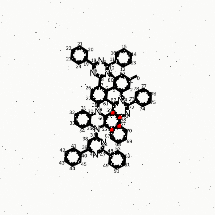 Cc1cc(C)c(-c2c(-c3nc(-c4ccccc4)nc(-c4ccccc4)n3)ccc(N3c4ccccc4N(c4cc(-c5ccccc5)nc(-c5ccccc5)n4)c4ccccc43)c2-c2cc(-c3ccccc3)nc(-c3ccccc3)n2)c(C)c1